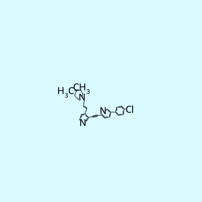 CC1(C)CCN(CC=Cc2ccncc2C#Cc2ccc(-c3ccc(Cl)cc3)cn2)CC1